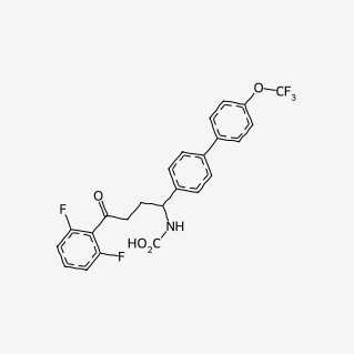 O=C(O)NC(CCC(=O)c1c(F)cccc1F)c1ccc(-c2ccc(OC(F)(F)F)cc2)cc1